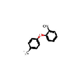 O=Nc1ccccc1Oc1ccc(C(F)(F)F)cc1